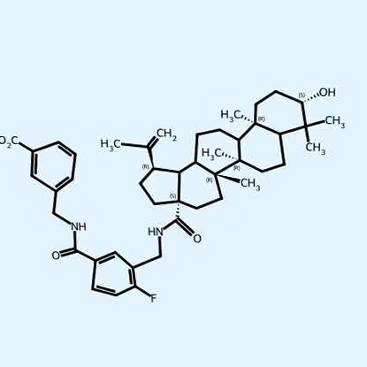 C=C(C)[C@@H]1CC[C@]2(C(=O)NCc3cc(C(=O)NCc4cccc(C(=O)O)c4)ccc3F)CC[C@]3(C)C(CCC4[C@@]5(C)CC[C@H](O)C(C)(C)C5CC[C@]43C)C12